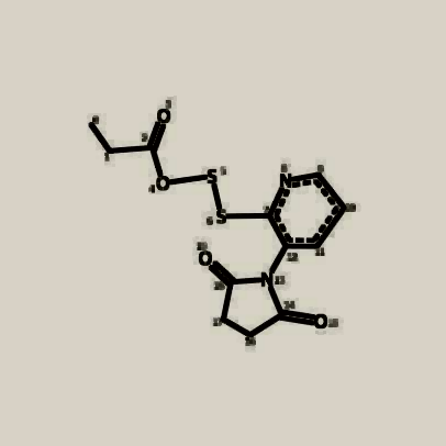 CCC(=O)OSSc1ncccc1N1C(=O)CCC1=O